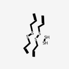 C=CCSSCC=C.C=CCSSCC=C.SS